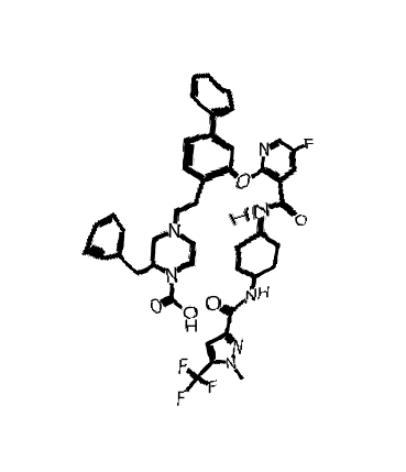 Cn1nc(C(=O)NC2CCC(NC(=O)c3cc(F)cnc3Oc3cc(-c4ccccc4)ccc3CCN3CCN(C(=O)O)C(Cc4ccccc4)C3)CC2)cc1C(F)(F)F